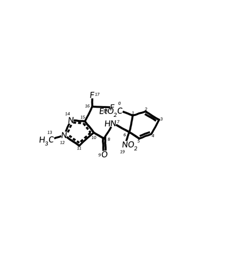 CCOC(=O)C1C=CC=CC1(NC(=O)c1cn(C)nc1C(F)F)[N+](=O)[O-]